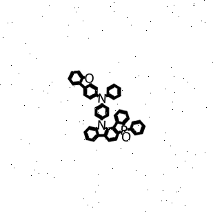 O=P1(c2ccccc2)c2ccccc2-c2c1ccc1c3ccccc3n(-c3ccc(N(c4ccccc4)c4ccc5c(c4)oc4ccccc45)cc3)c21